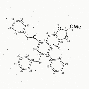 COC1Oc2cc3c(OCc4ccccc4)cc(Cc4ccccc4)c(-c4ccccc4)c3cc2O1